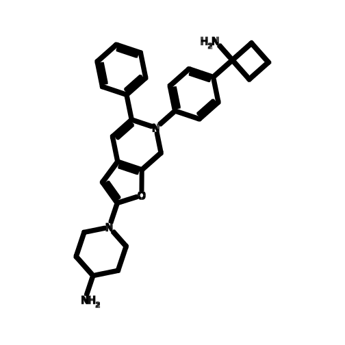 NC1CCN(c2cc3c(o2)CN(c2ccc(C4(N)CCC4)cc2)C(c2ccccc2)=C3)CC1